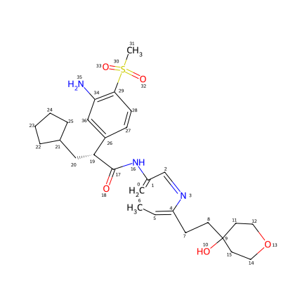 C=C(/C=N\C(=C/C)CCC1(O)CCOCC1)NC(=O)[C@H](CC1CCCC1)c1ccc(S(C)(=O)=O)c(N)c1